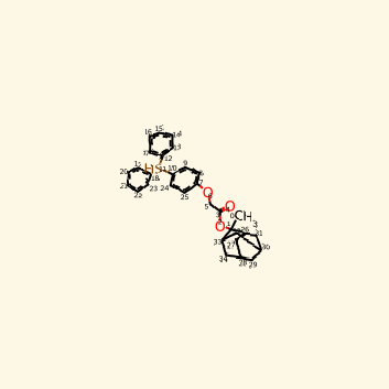 CC1(OC(=O)COc2ccc([SH](c3ccccc3)c3ccccc3)cc2)C2CC3CC(C2)CC1C3